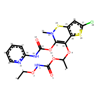 CCONC(=O)OC(C)OC1=C(OC(=O)Nc2ccccn2)N(C)Sc2cc(Cl)sc21